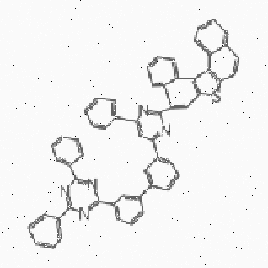 c1ccc(-c2cc(-c3cccc(-c4cccc(-c5nc(-c6ccccc6)nc(-c6ccccc6)n5)c4)c3)nc(-c3cc4sc5ccc6ccccc6c5c4c4ccccc34)n2)cc1